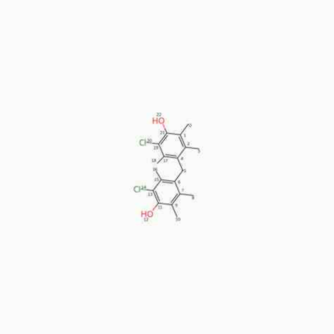 Cc1c(C)c(Cc2c(C)c(C)c(O)c(Cl)c2C)c(C)c(Cl)c1O